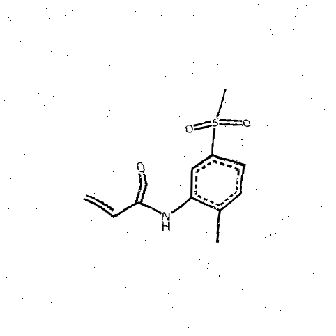 C=CC(=O)Nc1cc(S(C)(=O)=O)ccc1C